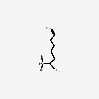 C=CCCCCC(C)[SiH](Br)Br